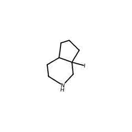 IC12CCCC1CCNC2